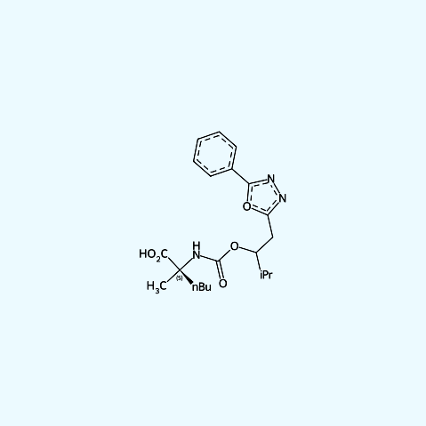 CCCC[C@](C)(NC(=O)OC(Cc1nnc(-c2ccccc2)o1)C(C)C)C(=O)O